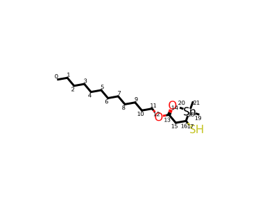 CCCCCCCCCCCCOC(=O)C[CH](S)[Sn]([CH3])([CH3])[CH3]